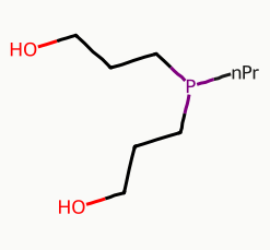 CCCP(CCCO)CCCO